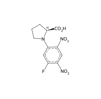 O=C(O)[C@@H]1CCCN1c1cc(F)c([N+](=O)[O-])cc1[N+](=O)[O-]